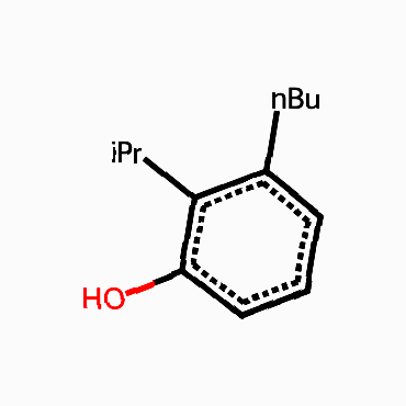 CCCCc1cccc(O)c1C(C)C